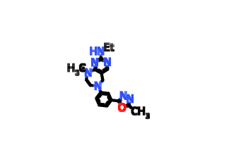 CCNc1ncc2c(n1)N(C)CCN(c1cccc(-c3nnc(C)o3)c1)C2